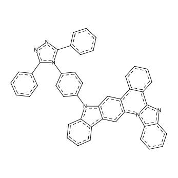 c1ccc(-c2nnc(-c3ccccc3)n2-c2ccc(-n3c4ccccc4c4cc5c(cc43)c3ccccc3c3nc4ccccc4n53)cc2)cc1